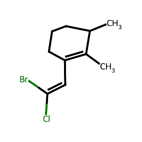 CC1=C(C=C(Cl)Br)CCCC1C